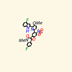 CNC(=O)c1c(-c2ccc(F)cc2)oc2cc(N(C)S(C)(=O)=O)c(-c3ccc(OC)c(-c4cc5c(F)cccc5[nH]4)n3)cc12